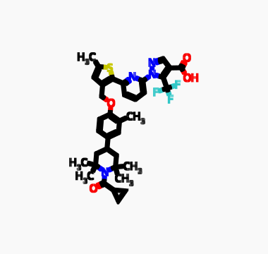 Cc1cc(COc2ccc(C3CC(C)(C)N(C(=O)C4CC4)C(C)(C)C3)cc2C)c(-c2cccc(-n3ncc(C(=O)O)c3C(F)(F)F)n2)s1